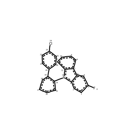 Fc1ccc2c(c1)c1ccccc1n2-c1ccccc1-c1ccc(Cl)cc1